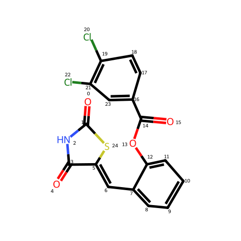 O=C1NC(=O)C(=Cc2ccccc2OC(=O)c2ccc(Cl)c(Cl)c2)S1